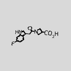 O=C(O)C1CN(C(=O)Cc2c[nH]c3cc(F)ccc23)C1